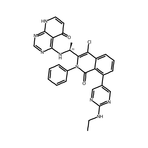 CCNc1ncc(-c2cccc3c(Cl)c([C@H](C)Nc4ncnc5[nH]ccc(=O)c45)n(-c4ccccc4)c(=O)c23)cn1